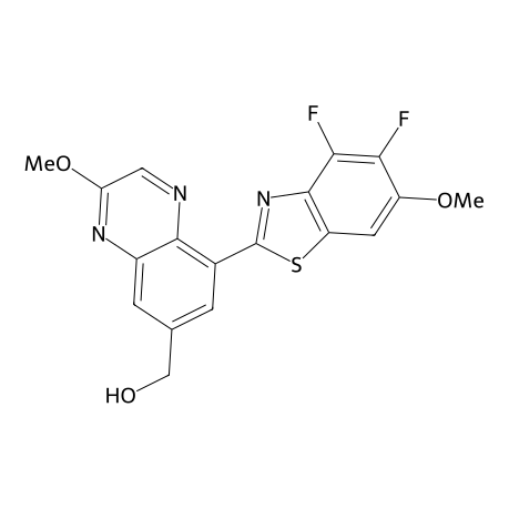 COc1cnc2c(-c3nc4c(F)c(F)c(OC)cc4s3)cc(CO)cc2n1